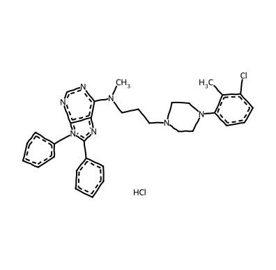 Cc1c(Cl)cccc1N1CCN(CCCN(C)c2ncnc3c2nc(-c2ccccc2)n3-c2ccccc2)CC1.Cl